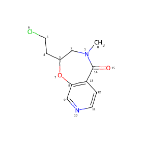 CN1CC(CCCl)Oc2cnccc2C1=O